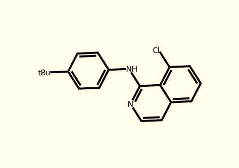 CC(C)(C)c1ccc(Nc2nccc3cccc(Cl)c23)cc1